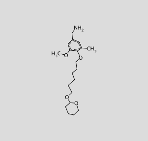 COc1cc(CN)cc(C)c1OCCCCCCOC1CCCCO1